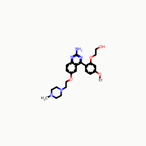 CCOc1ccc(-c2nc(N)nc3ccc(OCCN4CCN(C)CC4)cc23)c(OCCO)c1